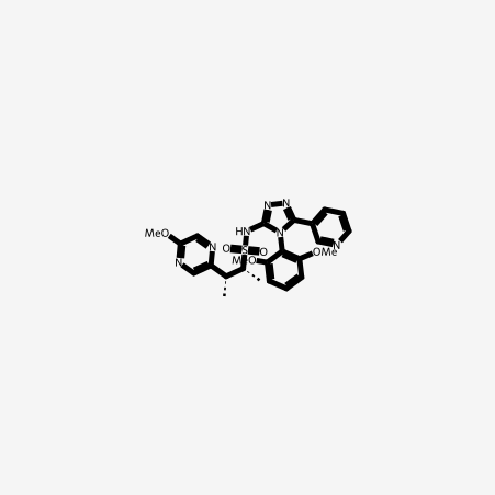 COc1cnc([C@@H](C)[C@@H](C)S(=O)(=O)Nc2nnc(-c3cccnc3)n2-c2c(OC)cccc2OC)cn1